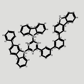 c1ccc(-c2ccc3c4ccccc4n(-c4nc(-c5cccc(-c6cccc(-c7ccc8oc9ccccc9c8c7)c6)c5)nc(-n5c6ccccc6c6ccccc65)n4)c3c2)cc1